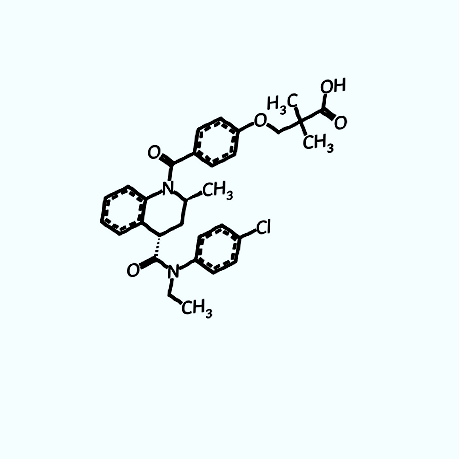 CCN(C(=O)[C@H]1C[C@H](C)N(C(=O)c2ccc(OCC(C)(C)C(=O)O)cc2)c2ccccc21)c1ccc(Cl)cc1